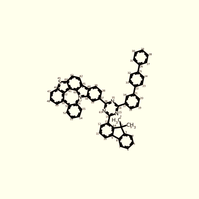 CC1(C)c2ccccc2-c2cccc(-c3nc(-c4cccc(-c5ccc(-c6ccccc6)cc5)c4)nc(-c4ccc5c6ccc7sc8cccc9c%10ccccc%10n(c5c4)c6c7c89)n3)c21